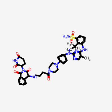 Cc1cnc(Nc2ccc(N3CCN(C(=O)CCCNC4C(=O)N(C5CCC(=O)NC5=O)C(=O)c5ccccc54)CC3)cc2)nc1Nc1cccc(S(N)(=O)=O)c1C(C)(C)C